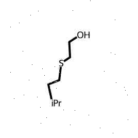 CC(C)CCSCCO